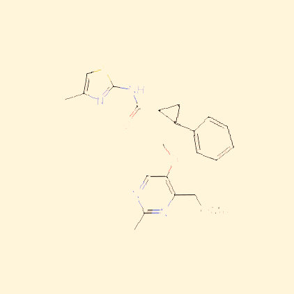 COCc1nc(C)ncc1OC[C@@]1(c2ccccc2)C[C@H]1C(=O)Nc1nc(C)cs1